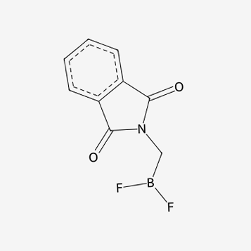 O=C1c2ccccc2C(=O)N1CB(F)F